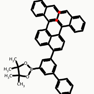 CC1(C)OB(c2cc(-c3ccccc3)cc(-c3ccc(-c4cccc5ccccc45)c4c(-c5cccc6ccccc56)cccc34)c2)OC1(C)C